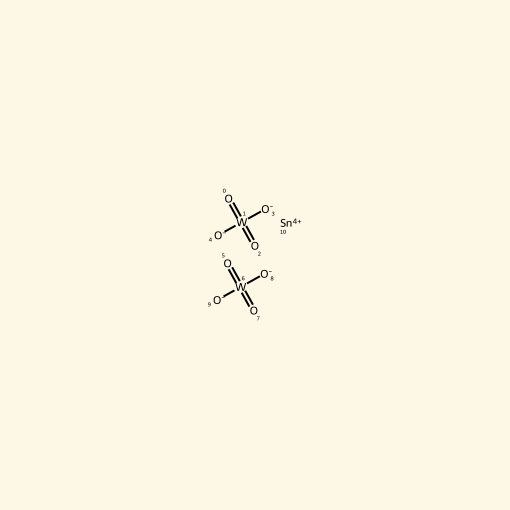 [O]=[W](=[O])([O-])[O-].[O]=[W](=[O])([O-])[O-].[Sn+4]